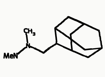 CNN(C)CC1C2CC3CC(C2)CC1C3